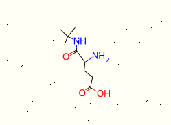 CC(C)(C)NC(=O)C(N)CCC(=O)O